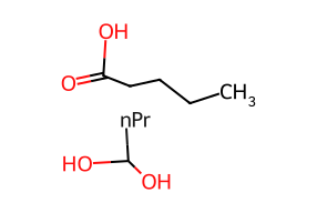 CCCC(O)O.CCCCC(=O)O